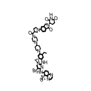 CCc1cc(Nc2ncc(Br)c(Nc3ccc4nccnc4c3P(C)(C)=O)n2)c(OC)cc1N1CCC(N2CCN(C(=O)C3CCN(c4ccc5c(c4)CN(C4CCC(=O)NC4=O)C5=O)C3)CC2)CC1